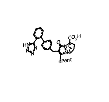 CCCCCc1c(Cc2ccc(-c3ccccc3-c3nnn[nH]3)cc2)c(=O)n2n1C1CCC2(C(=O)O)CC1